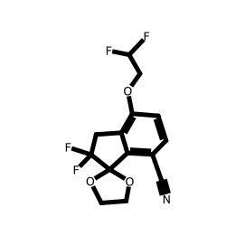 N#Cc1ccc(OCC(F)F)c2c1C1(OCCO1)C(F)(F)C2